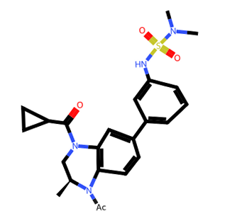 CC(=O)N1c2ccc(-c3cccc(NS(=O)(=O)N(C)C)c3)cc2N(C(=O)C2CC2)C[C@@H]1C